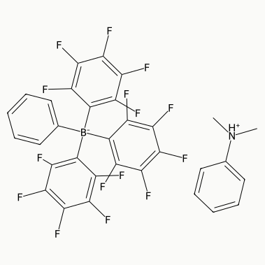 C[NH+](C)c1ccccc1.Fc1c(F)c(F)c([B-](c2ccccc2)(c2c(F)c(F)c(F)c(F)c2F)c2c(F)c(F)c(F)c(F)c2F)c(F)c1F